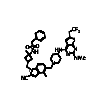 CNc1nc(NC2CCN(Cc3ccc4c(cc(C#N)n4CC4CC(C)(NS(=O)(=O)Cc5ccccc5)C4)c3C)CC2)c2cc(CC(F)(F)F)sc2n1